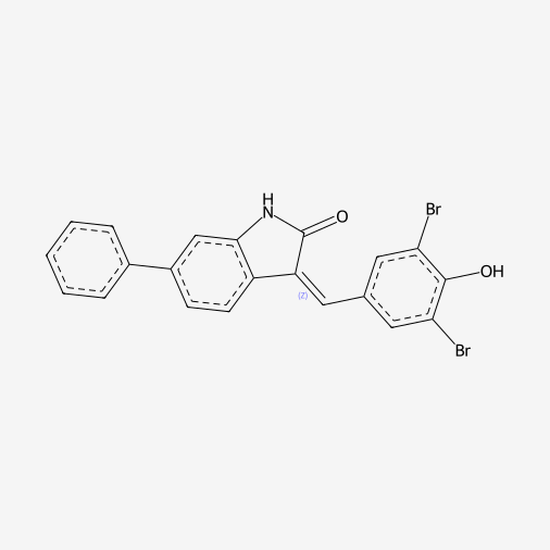 O=C1Nc2cc(-c3ccccc3)ccc2/C1=C/c1cc(Br)c(O)c(Br)c1